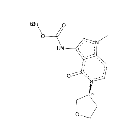 Cn1cc(NC(=O)OC(C)(C)C)c2c(=O)n([C@H]3CCOC3)ccc21